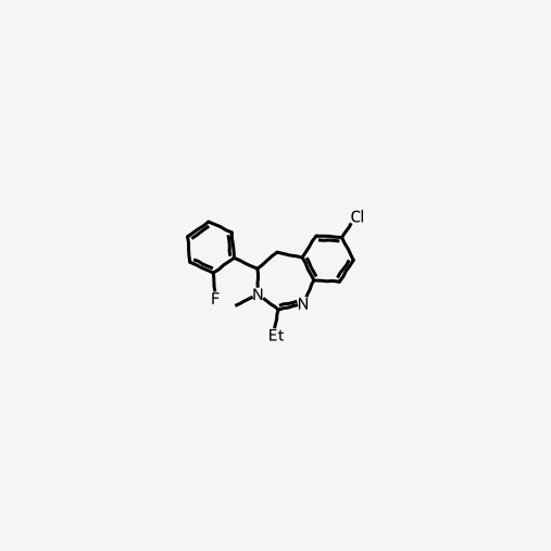 CCC1=Nc2ccc(Cl)cc2CC(c2ccccc2F)N1C